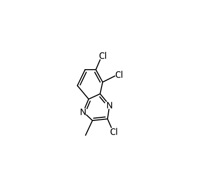 Cc1nc2ccc(Cl)c(Cl)c2nc1Cl